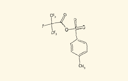 Cc1ccc(S(=O)(=O)OC(=O)C(F)(C(F)(F)F)C(F)(F)F)cc1